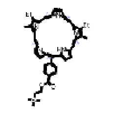 CCC1=C(C)/C2=C/c3ccc([nH]3)/C(c3ccc(C(=O)OCC[Si](C)(C)C)cc3)=c3/cc/c([nH]3)=C/c3[nH]c(c(CC)c3C)/C=c3/cc/c([nH]3)=C/C1=N2